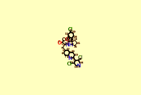 COC(=O)[C@H](Cc1ccc2nc(-c3c(Cl)cncc3Cl)ccc2c1)NC(=O)C1(c2ccc(Cl)cc2)CCCC1